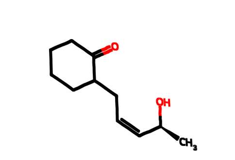 C[C@H](O)/C=C\CC1CCCCC1=O